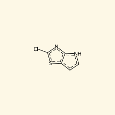 Clc1nc2[nH]ccc2s1